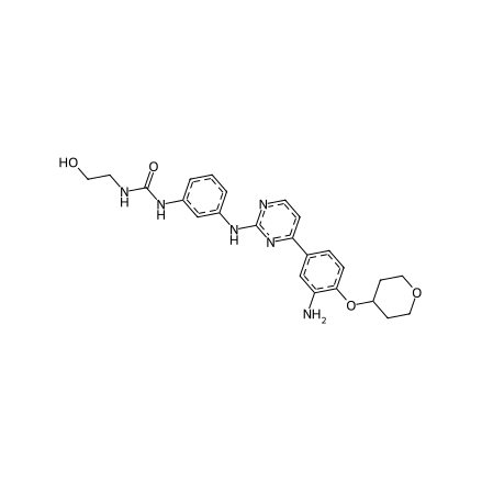 Nc1cc(-c2ccnc(Nc3cccc(NC(=O)NCCO)c3)n2)ccc1OC1CCOCC1